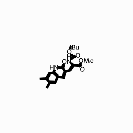 COC(=O)/C(=C/c1cc2cc(C)c(C)cc2[nH]c1=O)NC(=O)OC(C)(C)C